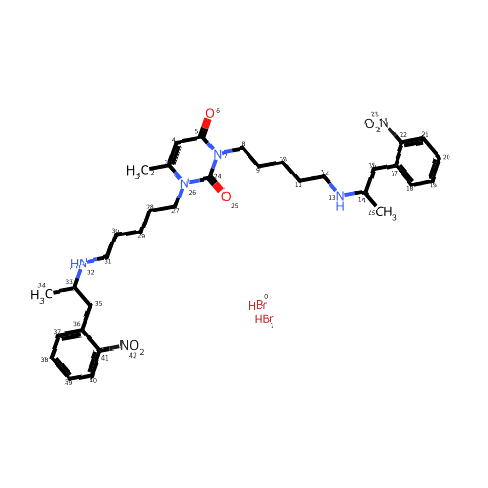 Br.Br.Cc1cc(=O)n(CCCCCNC(C)Cc2ccccc2[N+](=O)[O-])c(=O)n1CCCCCNC(C)Cc1ccccc1[N+](=O)[O-]